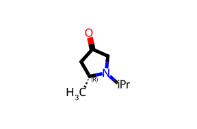 CC(C)N1CC(=O)C[C@H]1C